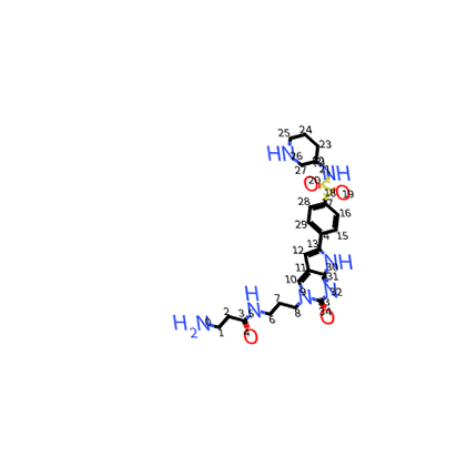 NCCC(=O)NCCCn1cc2cc(-c3ccc(S(=O)(=O)N[C@@H]4CCCNC4)cc3)[nH]c2nc1=O